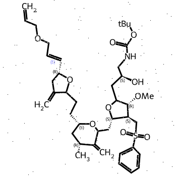 C=CCOC/C=C/[C@H]1CC(=C)C(CC[C@H]2C[C@@H](C)C(=C)C(C[C@@H]3OC(C[C@H](O)CNC(=O)OC(C)(C)C)[C@H](OC)[C@H]3CS(=O)(=O)c3ccccc3)O2)O1